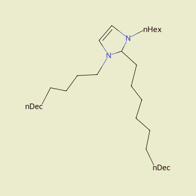 CCCCCCCCCCCCCCCCC1N(CCCCCC)C=CN1CCCCCCCCCCCCCC